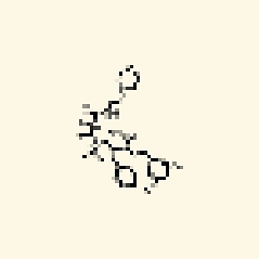 CC(C)[C@H](C(=O)C(F)(F)C(=O)NCCN1CCOCC1)C(N)[C@@H](Cc1ccccc1)C(N)CCc1cc(Cl)cc(Cl)c1